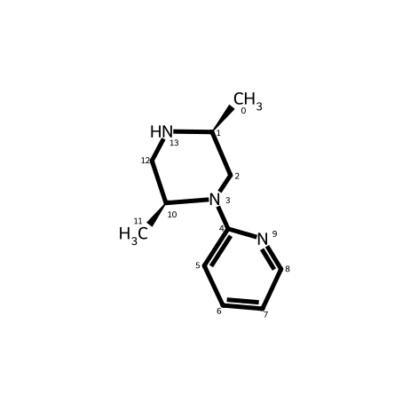 C[C@H]1CN(c2ccccn2)[C@@H](C)CN1